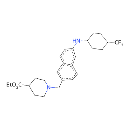 CCOC(=O)C1CCN(Cc2ccc3cc(N[C@H]4CC[C@@H](C(F)(F)F)CC4)ccc3c2)CC1